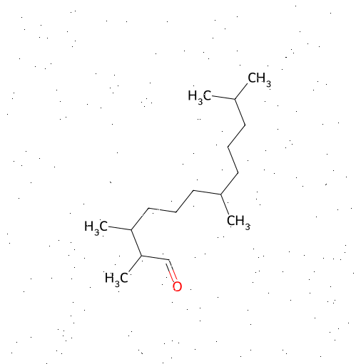 CC(C)CCCC(C)CCCC(C)C(C)C=O